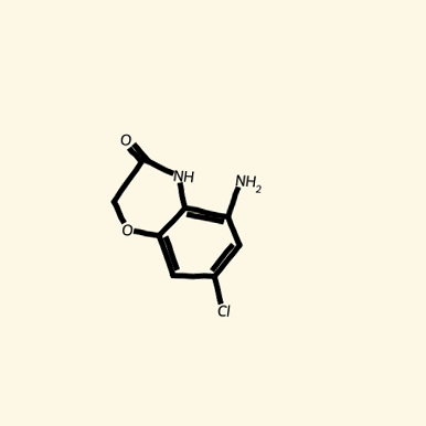 Nc1cc(Cl)cc2c1NC(=O)CO2